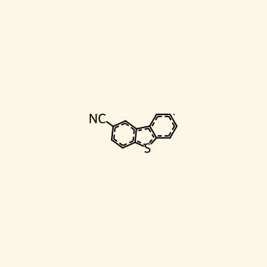 N#Cc1ccc2sc3cc[c]cc3c2c1